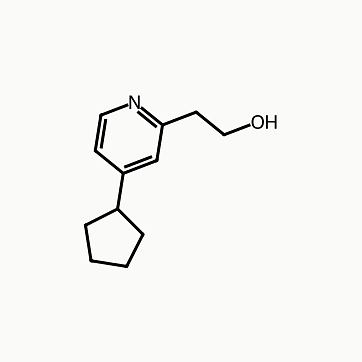 OCCc1cc(C2CCCC2)ccn1